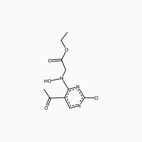 CCOC(=O)CN(O)c1nc(Cl)ncc1C(C)=O